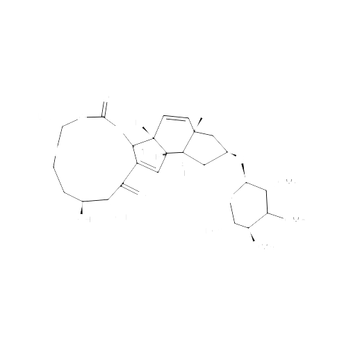 CC[C@H]1CCC[C@H](O)[C@@H](C)C(=O)C2=C[C@@H]3[C@@H](C=C[C@@H]4C[C@@H](O[C@@H]5O[C@@H](C)[C@H](OC)C(OC)[C@H]5OC)C[C@@H]34)[C@@H]2CC(=O)O1